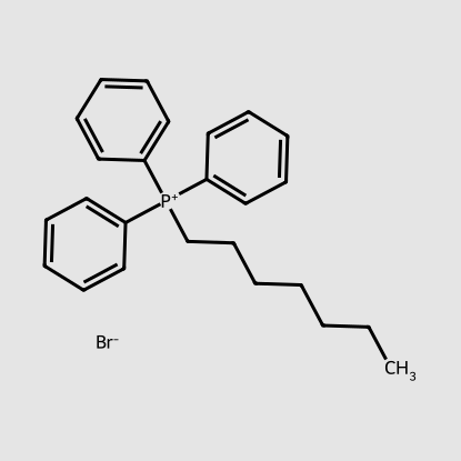 CCCCCCC[P+](c1ccccc1)(c1ccccc1)c1ccccc1.[Br-]